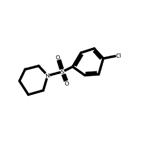 O=S(=O)(c1ccc(Cl)cc1)N1[CH]CCCC1